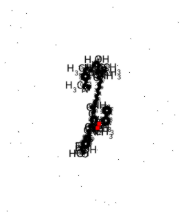 Cc1ncsc1-c1ccc([C@H](C)NC(=O)[C@@H]2C[C@@H](O)CN2C(=O)C(NC(=O)CCCCCCCCNC(=O)CO[C@H]2C[C@@H](C(=O)N3CCCC(c4ccccc4)C3)N(C(=O)C(NC(=O)c3cc4cc(C(F)(F)P(=O)(O)O)ccc4s3)C(C)(C)C)C2)C(C)(C)C)cc1